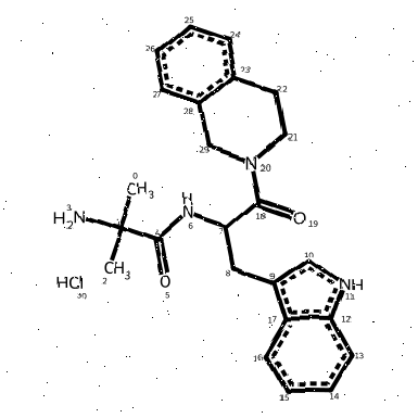 CC(C)(N)C(=O)NC(Cc1c[nH]c2ccccc12)C(=O)N1CCc2ccccc2C1.Cl